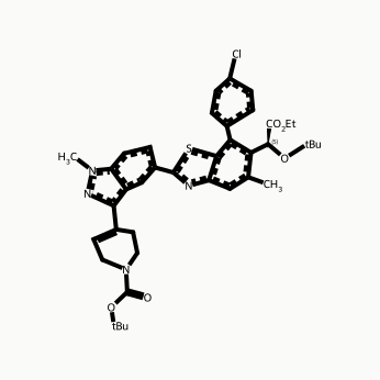 CCOC(=O)[C@@H](OC(C)(C)C)c1c(C)cc2nc(-c3ccc4c(c3)c(C3=CCN(C(=O)OC(C)(C)C)CC3)nn4C)sc2c1-c1ccc(Cl)cc1